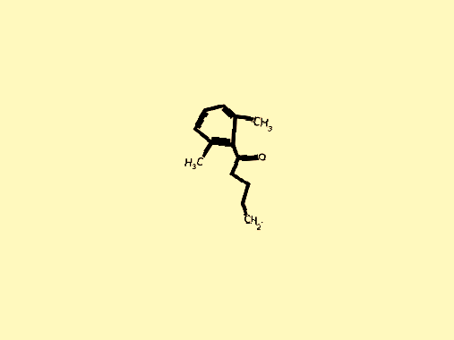 [CH2]CCCC(=O)c1c(C)cccc1C